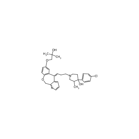 CC1CN(CC/C=C2/c3cc(OCC(C)(C)O)ccc3OCc3ncccc32)CCC1(O)c1ccc(Cl)cc1